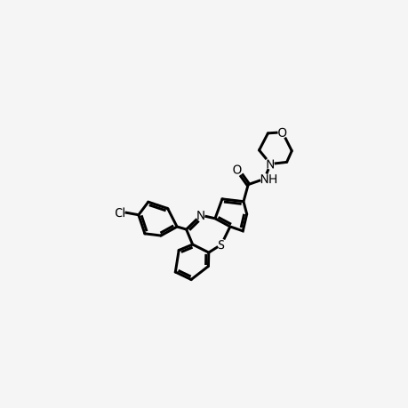 O=C(NN1CCOCC1)c1ccc2c(c1)N=C(c1ccc(Cl)cc1)c1ccccc1S2